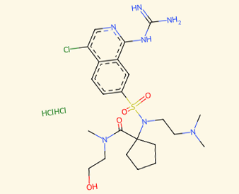 CN(C)CCN(C1(C(=O)N(C)CCO)CCCC1)S(=O)(=O)c1ccc2c(Cl)cnc(NC(=N)N)c2c1.Cl.Cl